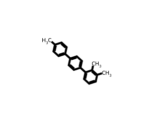 Cc1ccc(-c2ccc(-c3cccc(C)c3C)cc2)cc1